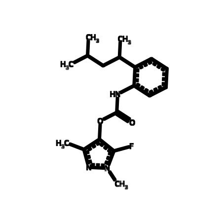 Cc1nn(C)c(F)c1OC(=O)Nc1ccccc1C(C)CC(C)C